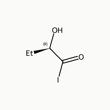 CC[C@@H](O)C(=O)I